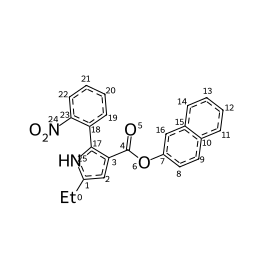 CCc1cc(C(=O)Oc2ccc3ccccc3c2)c(-c2ccccc2[N+](=O)[O-])[nH]1